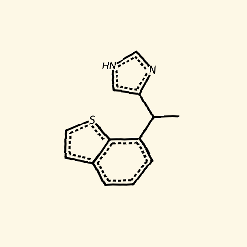 CC(c1c[nH]cn1)c1cccc2ccsc12